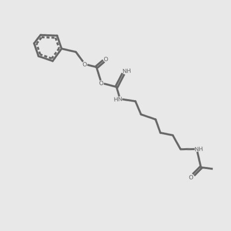 CC(=O)NCCCCCCNC(=N)OC(=O)OCc1ccccc1